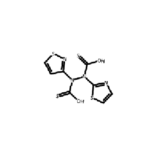 OC(=S)N(c1ccsn1)N(C(O)=S)c1nccs1